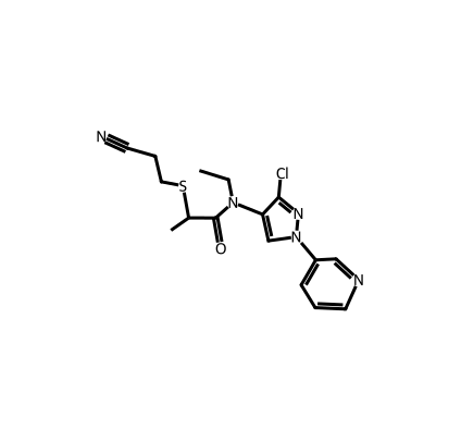 CCN(C(=O)C(C)SCCC#N)c1cn(-c2cccnc2)nc1Cl